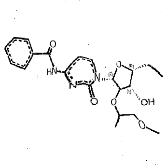 CC[C@H]1O[C@@H](n2ccc(NC(=O)c3ccccc3)nc2=O)C(OC(C)COC)[C@H]1O